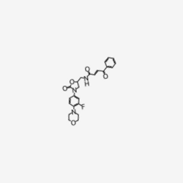 O=C(C=CC(=O)c1ccccc1)NCC1CN(c2ccc(N3CCOCC3)c(F)c2)C(=O)O1